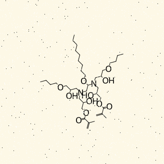 C=C(C)C(=O)OCC(O)CN(CC(O)COCCCC)CC(OCCCCCCCCC)N(CC(O)COCCCC)CC(O)COC(=O)C(=C)C